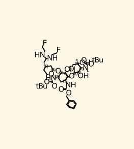 CN(C(=O)OC(C)(C)C)[C@@H]1[C@@H](O)[C@@H](O[C@@H]2[C@@H](O)[C@@H](O[C@H]3C[C@@H](CC(NCCF)NCCF)CCO3)[C@@H](NC(=O)OC(C)(C)C)C[C@@H]2NC(=O)OCc2ccccc2)OC[C@]1(C)O